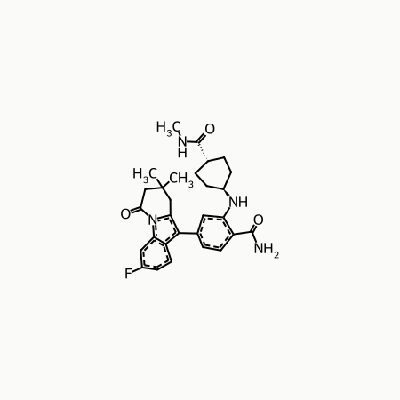 CNC(=O)[C@H]1CC[C@H](Nc2cc(-c3c4n(c5cc(F)ccc35)C(=O)CC(C)(C)C4)ccc2C(N)=O)CC1